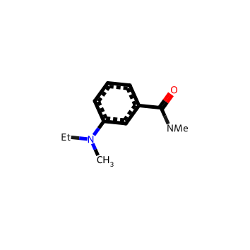 CCN(C)c1cccc(C(=O)NC)c1